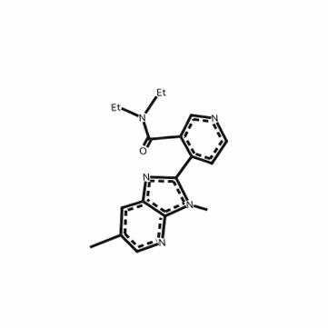 CCN(CC)C(=O)c1cnccc1-c1nc2cc(C)cnc2n1C